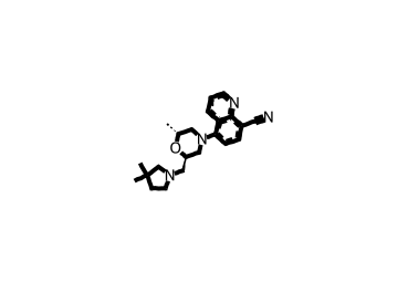 C[C@@H]1CN(c2ccc(C#N)c3ncccc23)C[C@@H](CN2CCC(C)(C)C2)O1